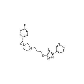 Cn1c(SCCCN2CCC3(C[C@@H]3c3ccc(F)cc3)C2)nnc1-c1cccnc1